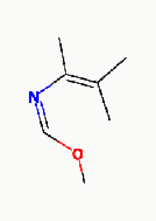 CO/C=N\C(C)=C(C)C